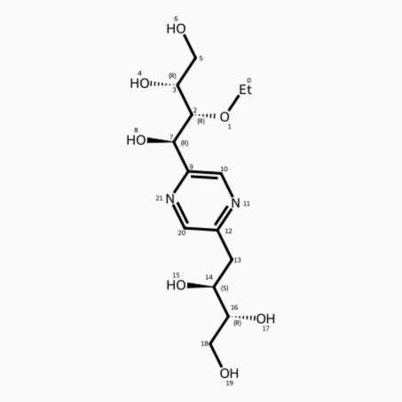 CCO[C@@H]([C@H](O)CO)[C@H](O)c1cnc(C[C@H](O)[C@H](O)CO)cn1